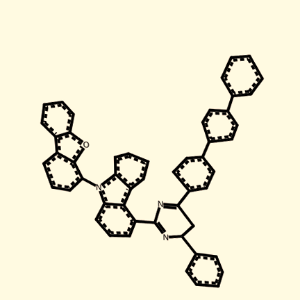 c1ccc(-c2ccc(-c3ccc(C4=NC(c5cccc6c5c5ccccc5n6-c5cccc6c5oc5ccccc56)=NC(c5ccccc5)C4)cc3)cc2)cc1